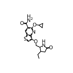 CCC1CC(=O)NC1COc1csc2cc(C(N)=O)c(OC3CC3)nc12